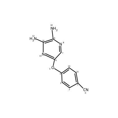 N#Cc1ccc(Oc2cnc(N)c(N)n2)cc1